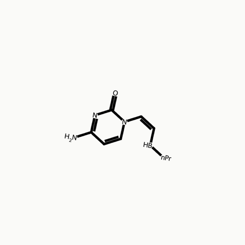 CCCB/C=C\n1ccc(N)nc1=O